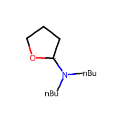 CCCCN(CCCC)[C]1CCCO1